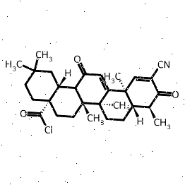 C[C@@H]1C(=O)C(C#N)=C[C@]2(C)C3=CC(=O)C4[C@H]5CC(C)(C)CC[C@]5(C(=O)Cl)CC[C@@]4(C)[C@]3(C)CC[C@@H]12